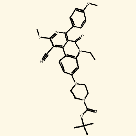 CCn1c(=O)c2c(-c3ccc(OC)cc3)nc(SC)c(C#N)c2c2ccc(N3CCN(C(=O)OC(C)(C)C)CC3)cc21